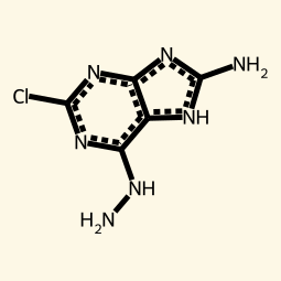 NNc1nc(Cl)nc2nc(N)[nH]c12